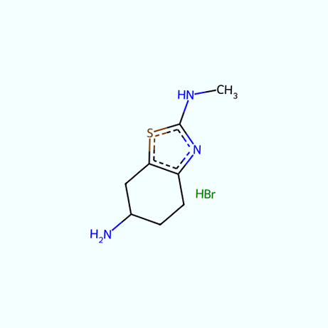 Br.CNc1nc2c(s1)CC(N)CC2